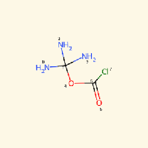 NC(N)(N)OC(=O)Cl